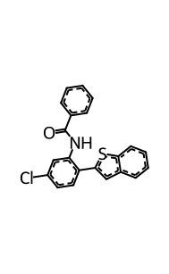 O=C(Nc1cc(Cl)ccc1-c1cc2ccccc2s1)c1ccccc1